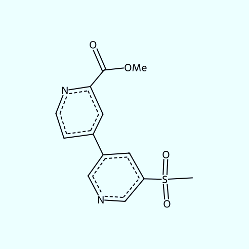 COC(=O)c1cc(-c2cncc(S(C)(=O)=O)c2)ccn1